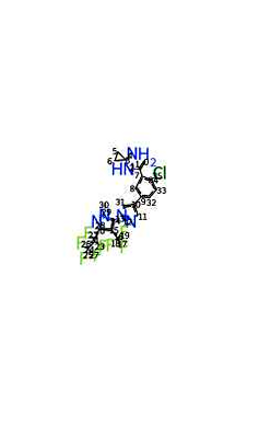 C=C(NC1(N)CC1)c1cc(-c2cnn(-c3c(C(F)(F)F)c(C(F)(F)C(F)(F)F)nn3C)c2)ccc1Cl